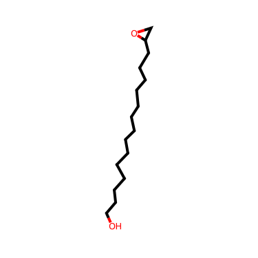 OCCCCCCCCCCCCCCC1CO1